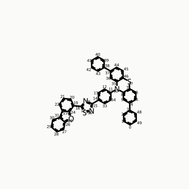 c1ccc(-c2ccc3c(c2)N(c2ccc(-c4nsc(-c5cccc6c5oc5ccccc56)n4)cc2)c2cc(-c4ccccc4)ccc2S3)cc1